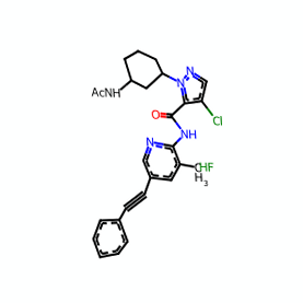 CC(=O)NC1CCCC(n2ncc(Cl)c2C(=O)Nc2ncc(C#Cc3ccccc3)cc2C)C1.F